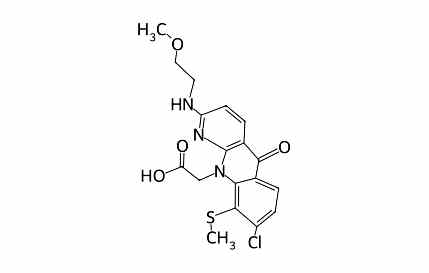 COCCNc1ccc2c(=O)c3ccc(Cl)c(SC)c3n(CC(=O)O)c2n1